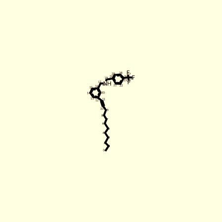 CCCCCCCCCCC#Cc1cccc(CNCc2ccc(C(F)(F)F)cc2)c1